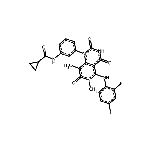 Cc1c(=O)n(C)c(Nc2ccc(I)cc2F)c2c(=O)[nH]c(=O)n(-c3cccc(NC(=O)C4CC4)c3)c12